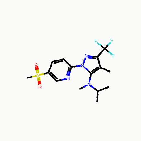 Cc1c(C(F)(F)F)nn(-c2ccc(S(C)(=O)=O)cn2)c1N(C)C(C)C